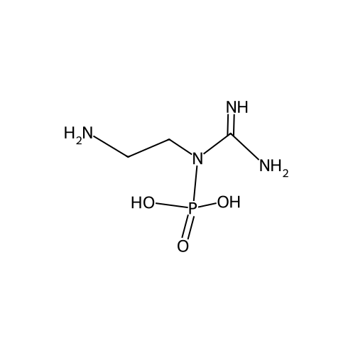 N=C(N)N(CCN)P(=O)(O)O